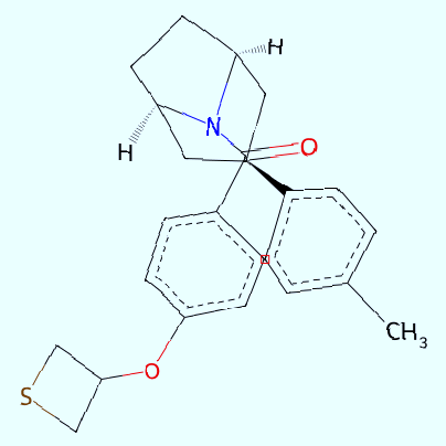 Cc1ccc([C@H]2C[C@H]3CC[C@@H](C2)N3C(=O)c2ccc(OC3CSC3)cc2)cc1